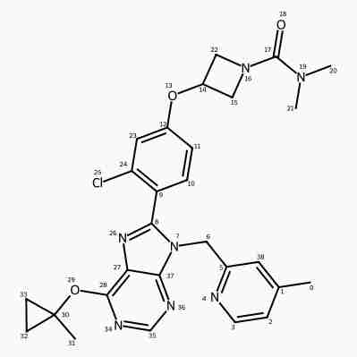 Cc1ccnc(Cn2c(-c3ccc(OC4CN(C(=O)N(C)C)C4)cc3Cl)nc3c(OC4(C)CC4)ncnc32)c1